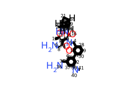 COc1c(CN2O[C@@H](CN)[C@H](C(C)O)[C@H]2C(=O)N[C@H]2C[C@H]3C[C@@H]([C@@H]2C)C3(C)C)cccc1-c1cc(CN)cc(N(C)C)c1